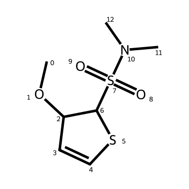 COC1C=CSC1S(=O)(=O)N(C)C